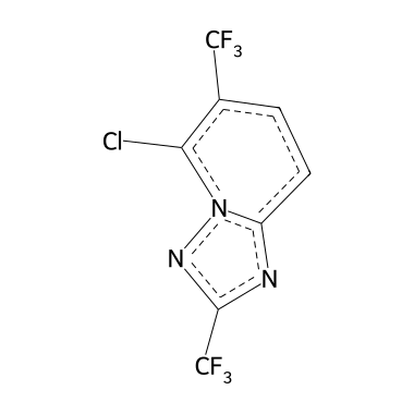 FC(F)(F)c1nc2ccc(C(F)(F)F)c(Cl)n2n1